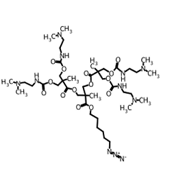 CN(C)CCNC(=O)OCC(C)(COC(=O)NCCN(C)C)C(=O)OCC(C)(COC(=O)C(C)(COC(=O)NCCN(C)C)COC(=O)NCCN(C)C)C(=O)OCCCCCCN=[N+]=[N-]